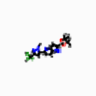 Cn1nc(C(F)(F)F)cc1-c1ccc2[nH]c(B3OC(C)(C)C(C)(C)O3)cc2n1